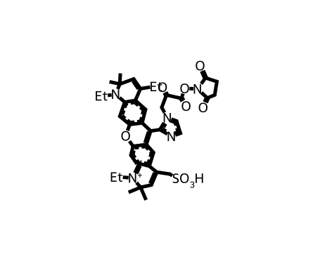 CCC1=CC(C)(C)N(CC)c2cc3c(cc21)C(c1nccn1CC(=O)C(=O)ON1C(=O)CCC1=O)=c1cc2c(cc1O3)=[N+](CC)C(C)(C)C=C2CS(=O)(=O)O